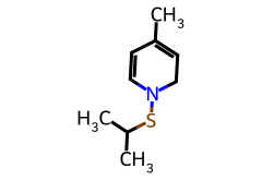 CC1=CCN(SC(C)C)C=C1